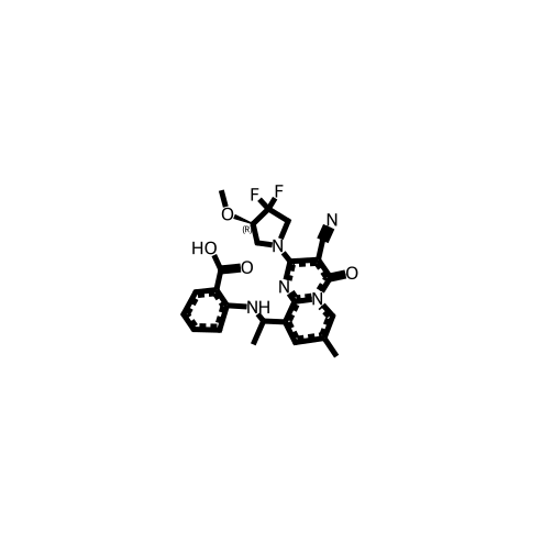 CO[C@@H]1CN(c2nc3c(C(C)Nc4ccccc4C(=O)O)cc(C)cn3c(=O)c2C#N)CC1(F)F